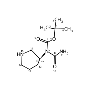 CC(C)(C)OC(=O)N(C(N)=O)[C@H]1CCCNC1